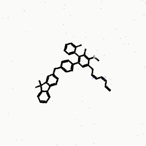 C=C/C=C\C=C/Cc1cc(-c2ccc(Cc3ccc4c(c3)C(C)(C)c3ccccc3-4)cc2)c(-c2ccccc2C)c(C)c1SC